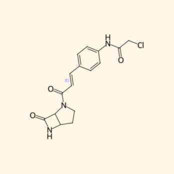 O=C(CCl)Nc1ccc(/C=C/C(=O)N2CCC3NC(=O)C32)cc1